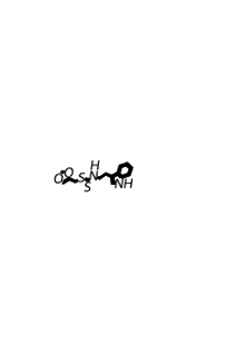 S=C(NCCc1c[nH]c2ccccc12)SCC1=COCO1